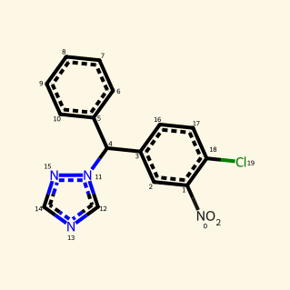 O=[N+]([O-])c1cc(C(c2ccccc2)n2cncn2)ccc1Cl